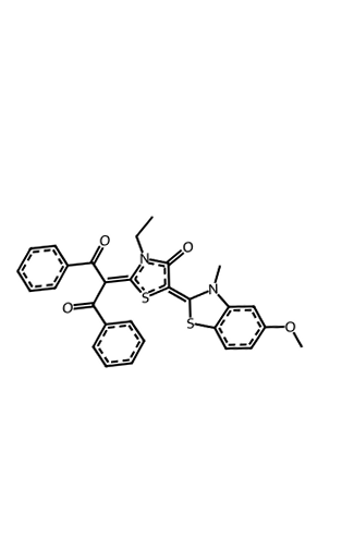 CCn1c(=C(C(=O)c2ccccc2)C(=O)c2ccccc2)s/c(=C2\Sc3ccc(OC)cc3N2C)c1=O